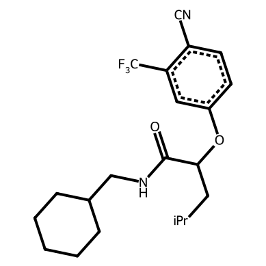 CC(C)CC(Oc1ccc(C#N)c(C(F)(F)F)c1)C(=O)NCC1CCCCC1